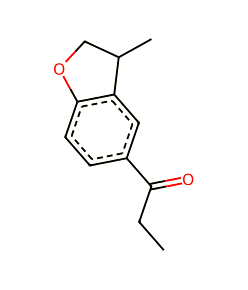 CCC(=O)c1ccc2c(c1)C(C)CO2